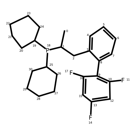 CC(Cc1ccccc1-c1c(F)cc(F)cc1F)P(C1CCCCC1)C1CCCCC1